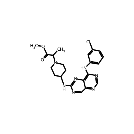 COC(=O)C(C)N1CCC(Nc2ncc3ncnc(Nc4cccc(Cl)c4)c3n2)CC1